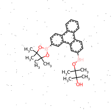 CC(C)(O)C(C)(C)OBc1ccc2c3ccccc3c3ccc(B4OC(C)(C)C(C)(C)O4)cc3c2c1